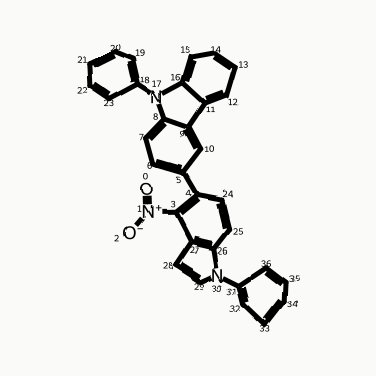 O=[N+]([O-])c1c(-c2ccc3c(c2)c2ccccc2n3-c2ccccc2)ccc2c1ccn2-c1ccccc1